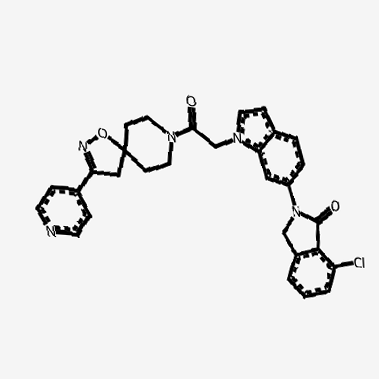 O=C(Cn1ccc2ccc(N3Cc4cccc(Cl)c4C3=O)cc21)N1CCC2(CC1)CC(c1ccncc1)=NO2